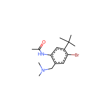 CC(=O)Nc1cc(C(C)(C)C)c(Br)cc1CN(C)C